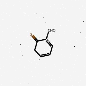 O=CC1=CC=CCC1=S